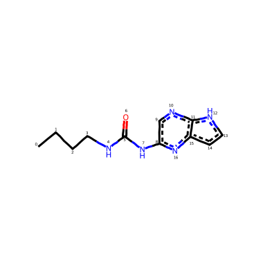 CCCCNC(=O)Nc1cnc2[nH]ccc2n1